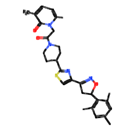 Cc1cc(C)c(C2CC(c3csc(C4CCN(C(=O)Cn5c(C)ccc(C(F)(F)F)c5=O)CC4)n3)=NO2)c(C)c1